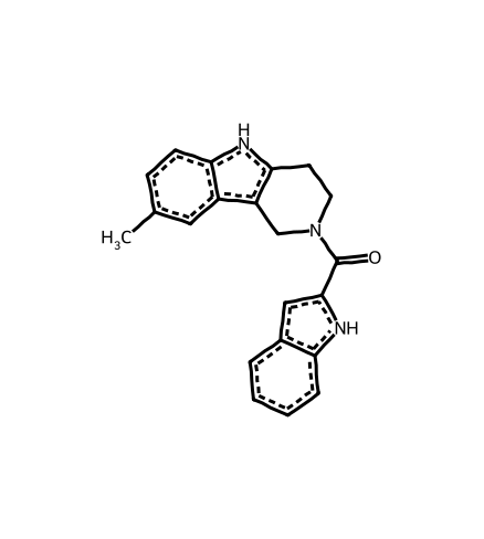 Cc1ccc2[nH]c3c(c2c1)CN(C(=O)c1cc2ccccc2[nH]1)CC3